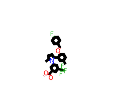 COC(=O)c1cc(-n2c(C)ccc2-c2cc(C)ccc2OCc2ccc(F)cc2)cc(C(F)(F)F)c1